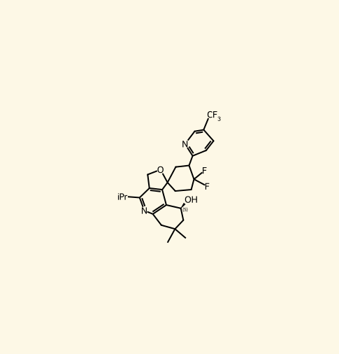 CC(C)c1nc2c(c3c1COC31CCC(F)(F)C(c3ccc(C(F)(F)F)cn3)C1)[C@@H](O)CC(C)(C)C2